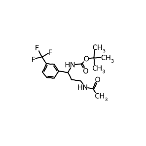 CC(=O)NCCC(NC(=O)OC(C)(C)C)c1cccc(C(F)(F)F)c1